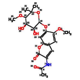 COc1cc2cc(NC(C)=O)c(=O)oc2cc1OC1OC(C)(C)C(OC)[C@H](O)[C@@H]1O